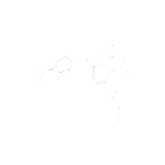 O=[N+]([O-])c1ccc(Nc2ccc(NCCO)c([N+](=O)[O-])c2S(=O)(=O)O)cc1